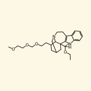 CCOC(=O)C12CC3CC(CCOCOCCOC)C1N(CCc1c2[nH]c2ccccc12)C3